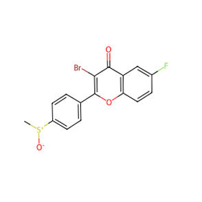 C[S+]([O-])c1ccc(-c2oc3ccc(F)cc3c(=O)c2Br)cc1